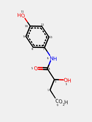 O=C(O)CC(O)C(=O)Nc1ccc(O)cc1